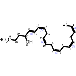 CC/C=C\C/C=C\C/C=C\C/C=C\C/C=C\C=C\C(O)CCC(=O)O